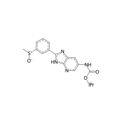 CC(C)OC(=O)Nc1cnc2[nH]c(-c3cccc([S+](C)[O-])c3)nc2c1